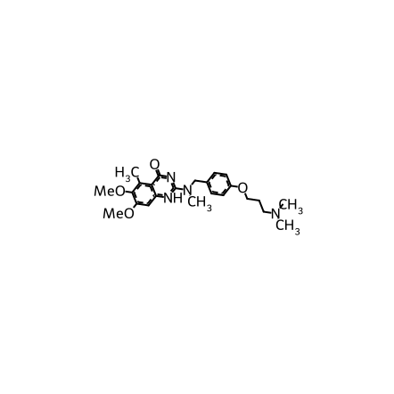 COc1cc2[nH]c(N(C)Cc3ccc(OCCCN(C)C)cc3)nc(=O)c2c(C)c1OC